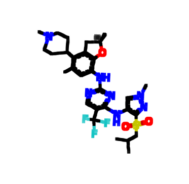 Cc1cc(Nc2ncc(C(F)(F)F)c(Nc3cn(C)nc3S(=O)(=O)CC(C)C)n2)c2c(c1C1CCN(C)CC1)C[C@@H](C)O2